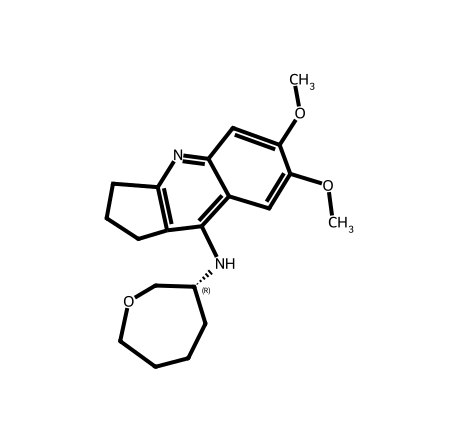 COc1cc2nc3c(c(N[C@@H]4CCCCOC4)c2cc1OC)CCC3